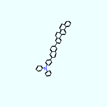 c1ccc(N(c2ccccc2)c2ccc(-c3ccc4cc(-c5ccc6c(ccc7c6ccc6c8ccccc8ccc67)c5)ccc4c3)cc2)cc1